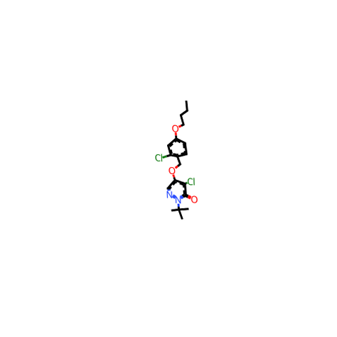 CCCCOc1ccc(COc2cnn(C(C)(C)C)c(=O)c2Cl)c(Cl)c1